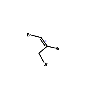 Br/C=C(/Br)CBr